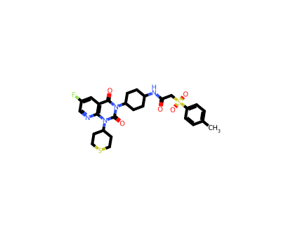 Cc1ccc(S(=O)(=O)CC(=O)NC2CCC(n3c(=O)c4cc(F)cnc4n(C4CCSCC4)c3=O)CC2)cc1